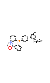 [Fe+2].c1cc[cH-]c1.c1ccc(P(c2ccccc2)c2ccc[c-]2C2=NCCO2)cc1